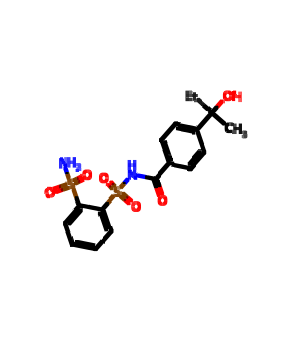 CCC(C)(O)c1ccc(C(=O)NS(=O)(=O)c2ccccc2S(N)(=O)=O)cc1